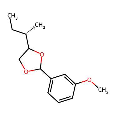 CC[C@H](C)C1COC(c2cccc(OC)c2)O1